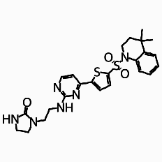 CC1(C)CCN(S(=O)(=O)c2ccc(-c3ccnc(NCCN4CCNC4=O)n3)s2)c2ccccc21